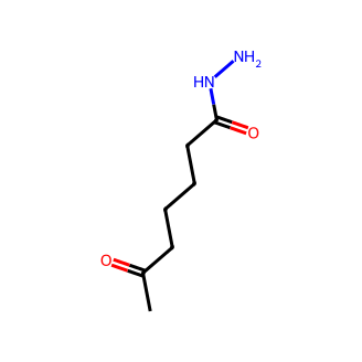 CC(=O)CCCCC(=O)NN